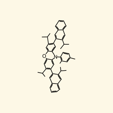 Cc1ccc(N2c3cc(-c4cc5ccccc5cc4C(C)C)c(C(C)C)cc3Oc3cc(C(C)C)c(-c4cc5ccccc5cc4C(C)C)cc32)c(C)c1